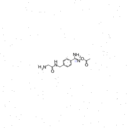 CC(=O)O/N=C(\N)c1ccc(CNC(=O)CN)cc1